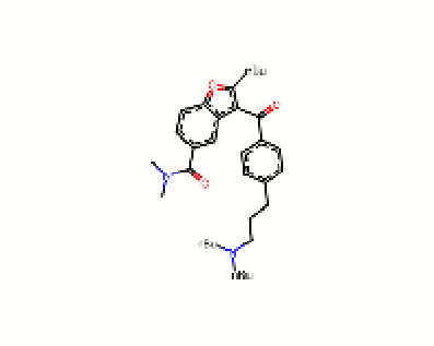 CCCCc1oc2ccc(C(=O)N(C)C)cc2c1C(=O)c1ccc(CCCN(CCCC)CCCC)cc1